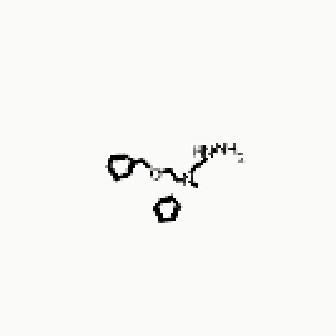 CN(CCNN)CCOCc1ccccc1.c1ccccc1